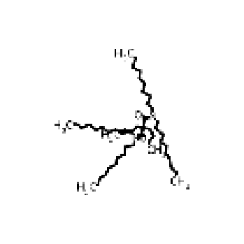 CCCCCCCCCCN(CCCCCCCCCC)C(=O)C(CCCC)(CCCC)C(=O)N(CCCCCCCCCC)CCCCCCCCCC